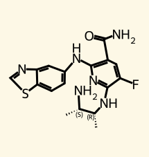 C[C@H](N)[C@@H](C)Nc1nc(Nc2ccc3scnc3c2)c(C(N)=O)cc1F